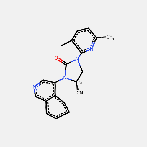 Cc1ccc(C(F)(F)F)nc1N1C[C@@H](C#N)N(c2cncc3ccccc23)C1=O